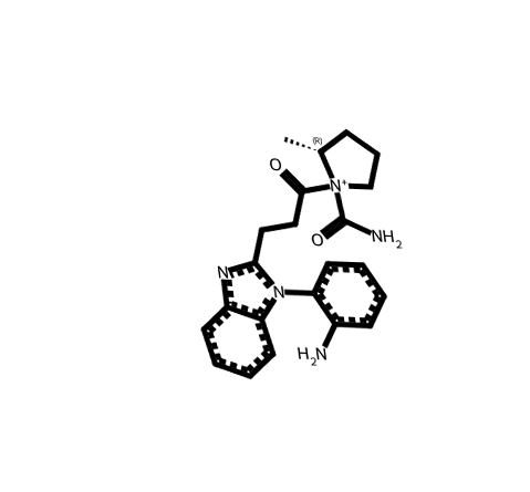 C[C@@H]1CCC[N+]1(C(N)=O)C(=O)CCc1nc2ccccc2n1-c1ccccc1N